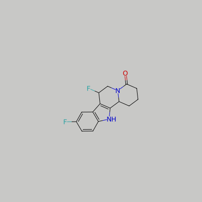 O=C1CCCC2c3[nH]c4ccc(F)cc4c3C(F)CN12